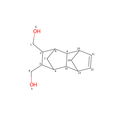 OCC1C(CO)C2CC1C1C3C=CC(C3)C21